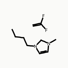 C=C(F)F.CCCCN1C=CN(C)C1